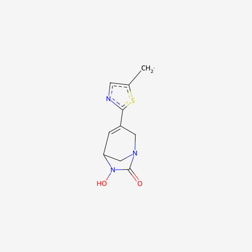 [CH2]c1cnc(C2=CC3CN(C2)C(=O)N3O)s1